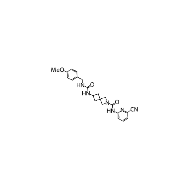 COc1ccc(CNC(=O)NC2CC3(C2)CN(C(=O)Nc2cccc(C#N)n2)C3)cc1